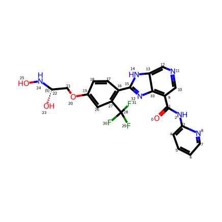 O=C(Nc1ccccn1)c1cncc2[nH]c(-c3ccc(OC[C@H](O)NO)cc3C(F)(F)F)nc12